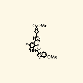 COC(=O)N1CC(c2noc(-c3cc(F)c(C)c(NC(=O)c4cnc5cc(OC)ccn45)c3F)n2)C1